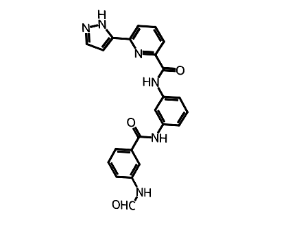 O=CNc1cccc(C(=O)Nc2cccc(NC(=O)c3cccc(-c4ccn[nH]4)n3)c2)c1